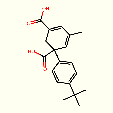 CC1=CC(C(=O)O)(c2ccc(C(C)(C)C)cc2)CC(C(=O)O)=C1